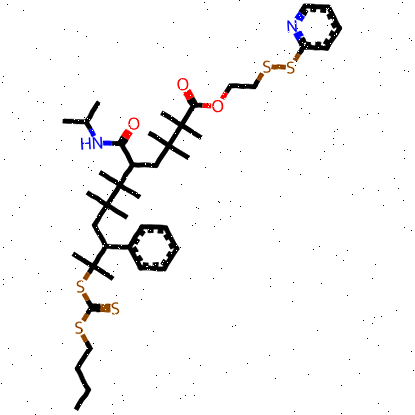 CCCCSC(=S)SC(C)(C)C(CC(C)(C)C(C)(C)C(CC(C)(C)C(C)(C)C(=O)OCCSSc1ccccn1)C(=O)NC(C)C)c1ccccc1